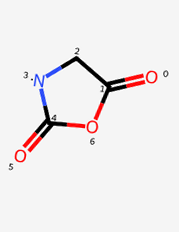 O=C1C[N]C(=O)O1